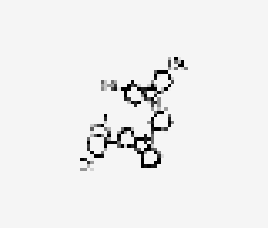 CCC1CC2CC(C)CC(c3ccc4c(c3)c3ccccc3n4-c3ccnc(-n4c5ccc(C(C)(C)C)cc5c5cc(C(C)(C)C)ccc54)c3)(C1)C2